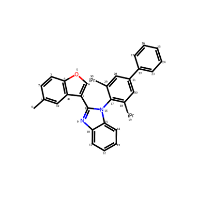 Cc1ccc2occ(-c3nc4ccccc4n3-c3c(C(C)C)cc(-c4ccccc4)cc3C(C)C)c2c1